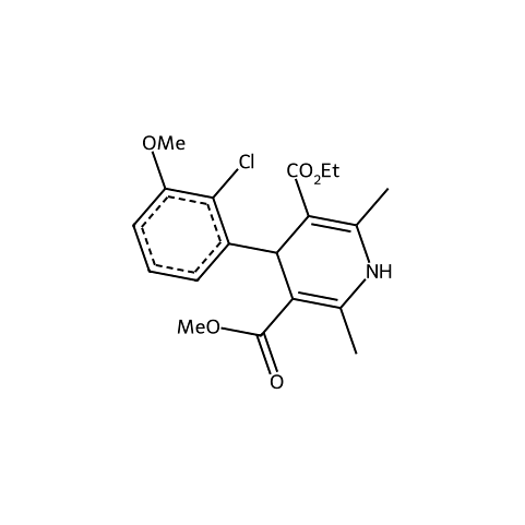 CCOC(=O)C1=C(C)NC(C)=C(C(=O)OC)C1c1cccc(OC)c1Cl